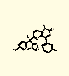 Cc1cccc(-c2cc(=O)n(C)c3ccc([C@](F)(c4ccc(Cl)cc4)c4cncn4C)nc23)c1